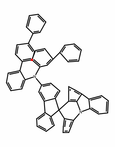 c1ccc(-c2ccc(-c3ccccc3N(c3cccc(-c4ccccc4)c3)c3ccc4c(c3)-c3ccccc3C43c4ccccc4-n4c5ccccc5c5cccc3c54)cc2)cc1